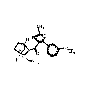 Cc1nc(C(=O)N2[C@@H]3CC[C@@H](C3)[C@H]2CN)c(-c2cccc(OC(F)(F)F)c2)o1